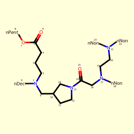 CCCCCCCCCCN(CCCC(=O)OCCCCC)CC1CCN(C(=O)CN(CCCCCCCCC)CCN(CCCCCCCCC)CCCCCCCCC)C1